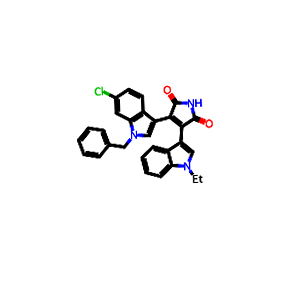 CCn1cc(C2=C(c3cn(Cc4ccccc4)c4cc(Cl)ccc34)C(=O)NC2=O)c2ccccc21